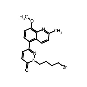 COc1ccc(-c2ccc(=O)n(CCCCBr)n2)c2ccc(C)nc12